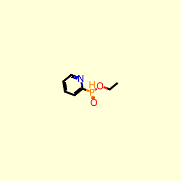 CCO[PH](=O)c1ccccn1